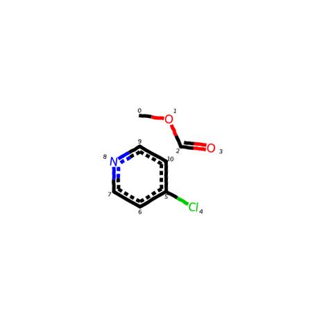 COC=O.Clc1ccncc1